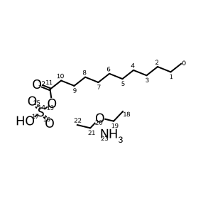 CCCCCCCCCCCC(=O)OS(=O)(=O)O.CCOCC.N